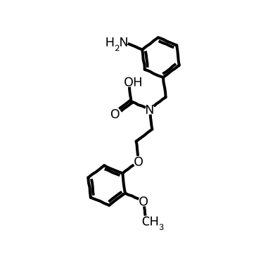 COc1ccccc1OCCN(Cc1cccc(N)c1)C(=O)O